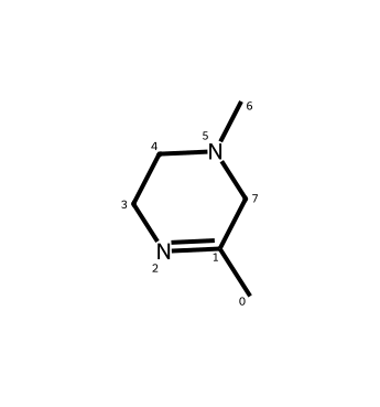 CC1=NCCN(C)C1